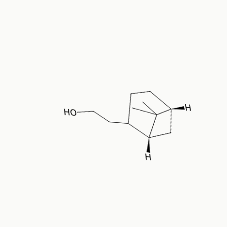 CC1(C)[C@@H]2CCC(CCO)[C@H]1C2